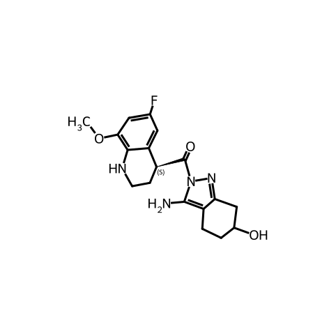 COc1cc(F)cc2c1NCC[C@@H]2C(=O)n1nc2c(c1N)CCC(O)C2